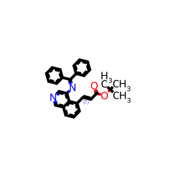 CC(C)(C)OC(=O)/C=C/c1cccc2cncc(N=C(c3ccccc3)c3ccccc3)c12